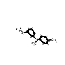 COc1[c]ccc(N(C)c2ccc(C)cc2)c1